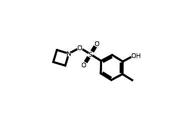 Cc1ccc(S(=O)(=O)ON2CCC2)cc1O